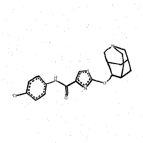 O=C(Nc1ccc(Cl)cc1)c1csc(OC2C3CC4CC2CN(C4)C3)n1